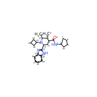 CC1C(C(=O)NC2CCCC2)CC(c2nc3ccccc3[nH]2)N(C2CCC2)C1C